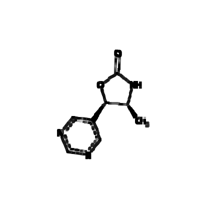 C[C@@H]1NC(=O)O[C@@H]1c1cncnc1